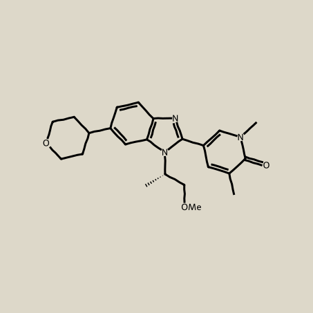 COC[C@H](C)n1c(-c2cc(C)c(=O)n(C)c2)nc2ccc(C3CCOCC3)cc21